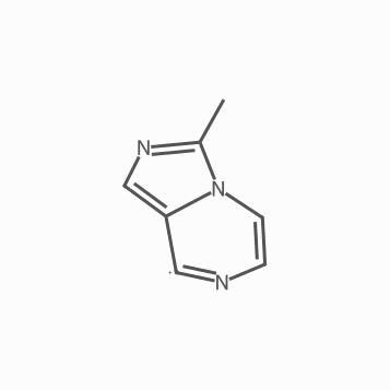 Cc1ncc2[c]nccn12